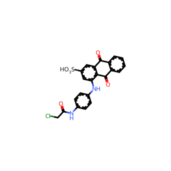 O=C(CCl)Nc1ccc(Nc2cc(S(=O)(=O)O)cc3c2C(=O)c2ccccc2C3=O)cc1